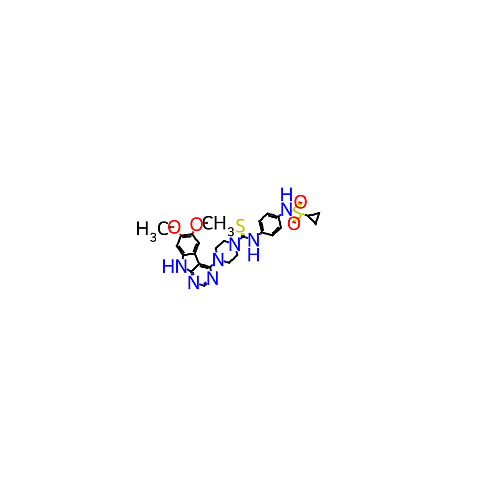 COc1cc2[nH]c3ncnc(N4CCN(C(=S)Nc5ccc(NS(=O)(=O)C6CC6)cc5)CC4)c3c2cc1OC